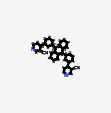 N#Cc1cnccc1-c1cccc(-c2c3ccccc3c(-c3cccc(-c4ccncc4C#N)c3)c3ccccc23)c1